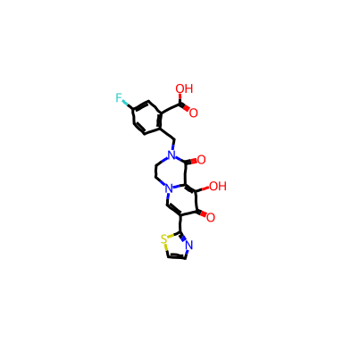 O=C(O)c1cc(F)ccc1CN1CCn2cc(-c3nccs3)c(=O)c(O)c2C1=O